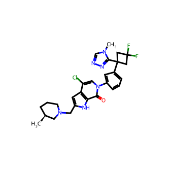 C[C@H]1CCCN(Cc2cc3c(Cl)cn(-c4cccc(C5(c6nncn6C)CC(F)(F)C5)c4)c(=O)c3[nH]2)C1